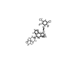 Fc1c(Cl)cc(Cl)c(F)c1C#Cc1n[nH]c2nc(N3CCC4(CCOC4)CC3)n3ccnc3c12